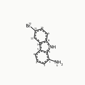 Nc1cccc2c1[nH]c1ccc(Br)cc12